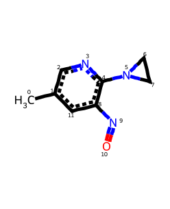 Cc1cnc(N2CC2)c(N=O)c1